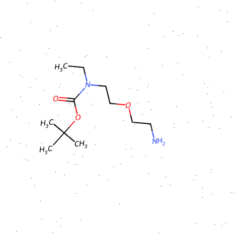 CCN(CCOCCN)C(=O)OC(C)(C)C